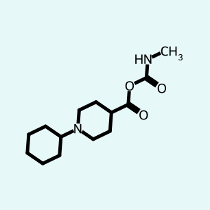 CNC(=O)OC(=O)C1CCN(C2CCCCC2)CC1